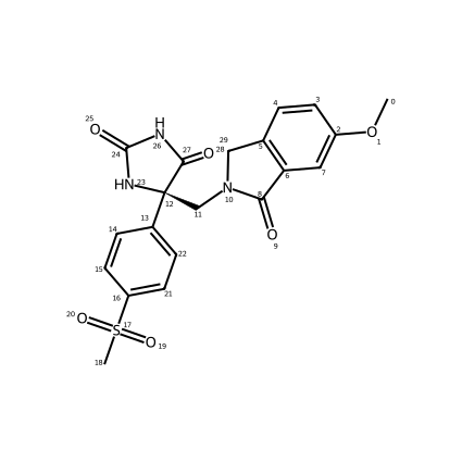 COc1ccc2c(c1)C(=O)N(C[C@@]1(c3ccc(S(C)(=O)=O)cc3)NC(=O)NC1=O)C2